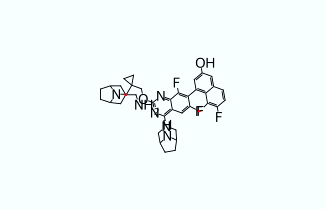 NCC1CC2CCC(C1)N2CC1(COc2nc(N3CC4CCC(C3)N4)c3cc(F)c(-c4cc(O)cc5ccc(F)c(F)c45)c(F)c3n2)CC1